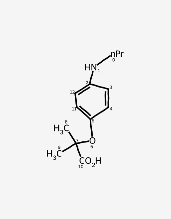 CCCNc1ccc(OC(C)(C)C(=O)O)cc1